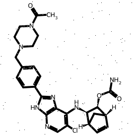 CC(=O)N1CCN(Cc2ccc(-c3nc4c(N[C@H]5[C@@H](OC(N)=O)[C@@H]6C=C[C@H]5C6)c(Cl)cnc4[nH]3)cc2)CC1